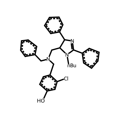 CCCCN1C(c2ccccc2)=NC(c2ccccc2)C1CN(Cc1ccccc1)Cc1ccc(O)cc1Cl